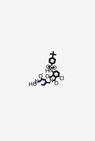 C\C=C(/C=C(\C=N\O)OC)CN1C(=O)c2c(Cl)ccc(NS(=O)(=O)c3ccc(C(C)(C)C)cc3)c2C1=O